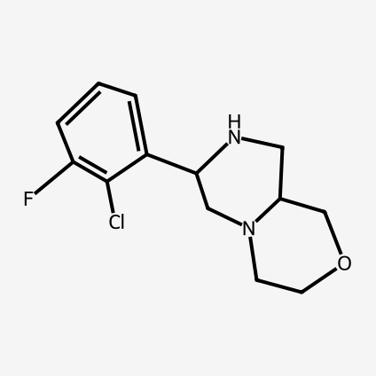 Fc1cccc(C2CN3CCOCC3CN2)c1Cl